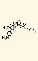 CCCCC(=O)Oc1ccccc1Cn1c(C)nc(C)c(-c2ccc(N)cc2)c1=O